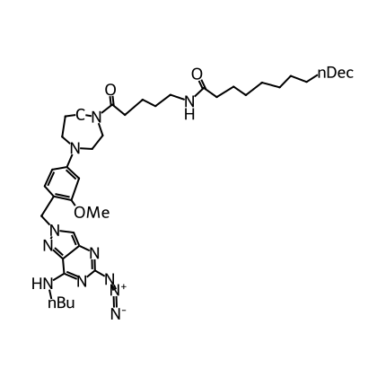 CCCCCCCCCCCCCCCCCC(=O)NCCCCC(=O)N1CCCN(c2ccc(Cn3cc4nc(N=[N+]=[N-])nc(NCCCC)c4n3)c(OC)c2)CC1